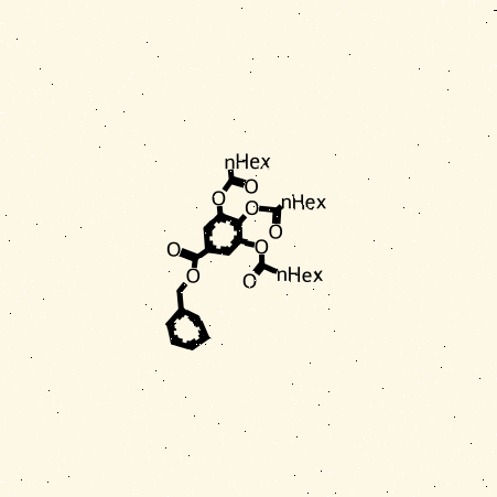 CCCCCCC(=O)Oc1cc(C(=O)OCc2ccccc2)cc(OC(=O)CCCCCC)c1OC(=O)CCCCCC